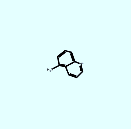 Nc1cccc2c1C=CC=[N+]2